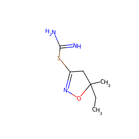 CCC1(C)CC(SC(=N)N)=NO1